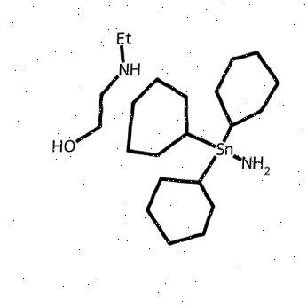 CCNCCO.[NH2][Sn]([CH]1CCCCC1)([CH]1CCCCC1)[CH]1CCCCC1